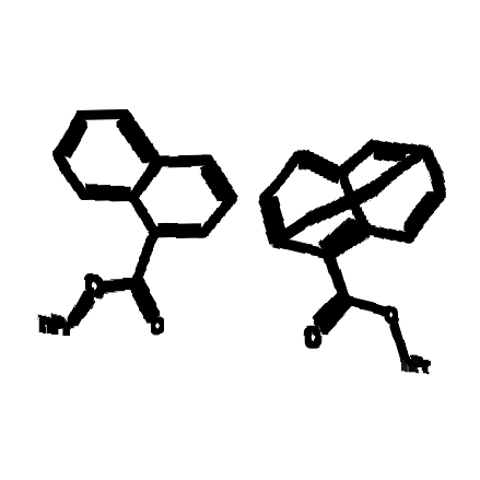 CCCOC(=O)c1c2ccc3cc2ccc13.CCCOC(=O)c1cccc2ccccc12